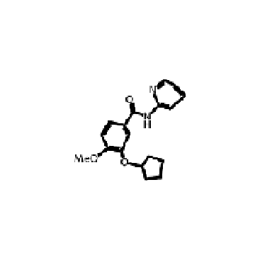 COc1ccc(C(=O)Nc2ccccn2)cc1OC1CCCC1